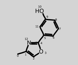 Cc1coc(-c2cccc(O)c2)n1